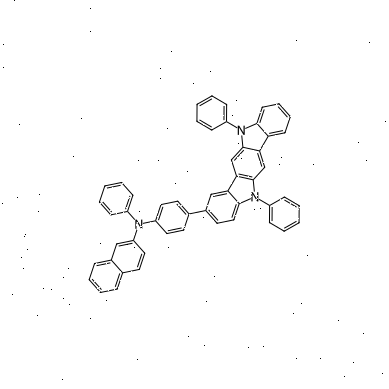 c1ccc(N(c2ccc(-c3ccc4c(c3)c3cc5c(cc3n4-c3ccccc3)c3ccccc3n5-c3ccccc3)cc2)c2ccc3ccccc3c2)cc1